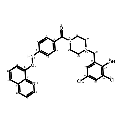 O=C(c1ccc(NOc2cccc3cccnc23)cc1)N1CCN(Cc2cc(Cl)cc(Cl)c2O)CC1